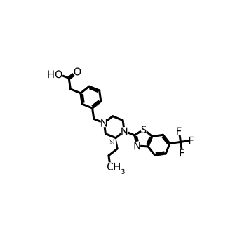 CCC[C@H]1CN(Cc2cccc(CC(=O)O)c2)CCN1c1nc2ccc(C(F)(F)F)cc2s1